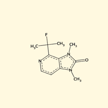 Cn1c(=O)n(C)c2c(C(C)(C)F)nccc21